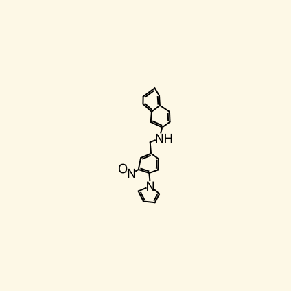 O=Nc1cc(CNc2ccc3ccccc3c2)ccc1-n1cccc1